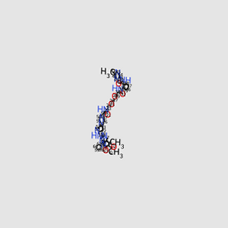 CC(=O)c1c(C)c2cnc(Nc3ccc(N4CCN(CC(=O)NCCOCCOCCC(=O)Nc5ccccc5C(=O)Nc5cnc(C)cn5)CC4)cn3)nc2n(C2CCCC2)c1=O